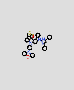 c1ccc(-c2cc(-c3ccccc3)nc(-n3c4ccccc4c4c5c(ccc43)N(c3ccc(N4c6ccccc6Oc6ccccc64)cc3)c3ccccc3C53c4ccsc4-c4sccc43)n2)cc1